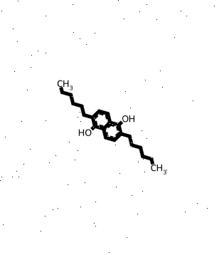 CCCCCCc1ccc2c(O)c(CCCCCC)ccc2c1O